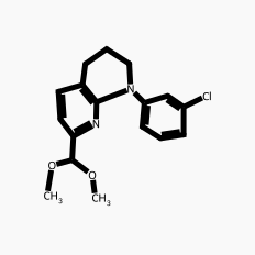 COC(OC)c1ccc2c(n1)N(c1cccc(Cl)c1)CCC2